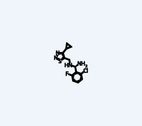 N[C@H](NCc1snnc1C1CC1)c1c(F)cccc1Cl